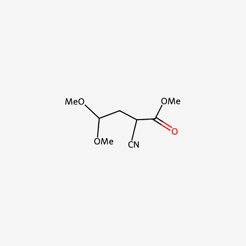 COC(=O)C(C#N)CC(OC)OC